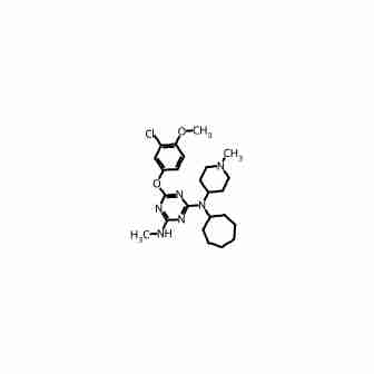 CNc1nc(Oc2ccc(OC)c(Cl)c2)nc(N(C2CCCCCC2)C2CCN(C)CC2)n1